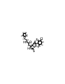 O=C(Cc1[nH]c(=S)n2c1C1C[C@]1(c1c(F)ccc(Cl)c1F)C2)NCCn1cccn1